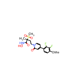 COc1ccc(-c2ccn(CCC(C)(C(=O)NO)S(C)(=O)=O)c(=O)c2)c(F)c1F